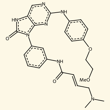 COCCOc1ccc(Nc2ncc3[nH]c(=O)n(-c4cccc(NC(=O)C=CCN(C)C)c4)c3n2)cc1